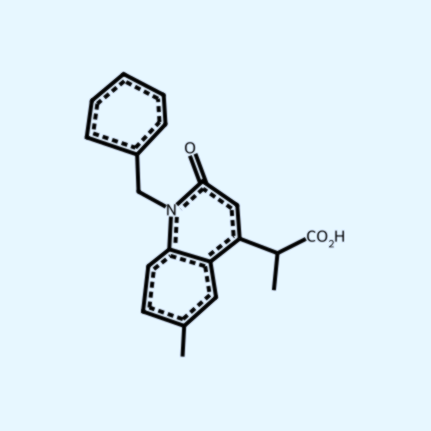 Cc1ccc2c(c1)c(C(C)C(=O)O)cc(=O)n2Cc1ccccc1